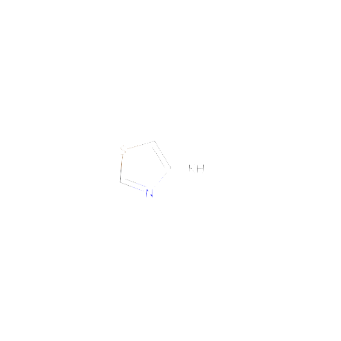 [KH].c1cscn1